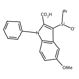 COc1ccc2c(c1)c([S+]([O-])C(C)C)c(C(=O)O)n2-c1ccccc1